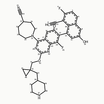 C#Cc1c(F)ccc2cc(O)cc(-c3c(Cl)cc4c(N5CCCC(C#N)CC5)nc(OCC5(CC6CCNCC6)CC5)nc4c3F)c12